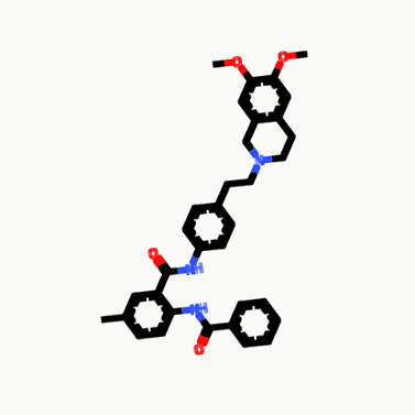 COc1cc2c(cc1OC)CN(CCc1ccc(NC(=O)c3cc(C)ccc3NC(=O)c3ccccc3)cc1)CC2